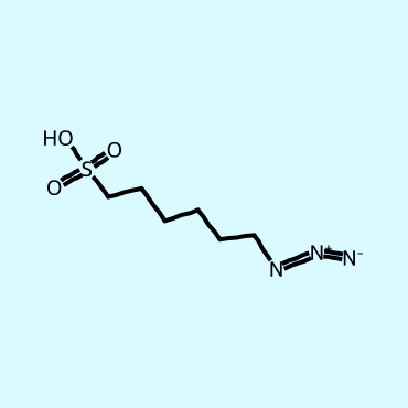 [N-]=[N+]=NCCCCCCS(=O)(=O)O